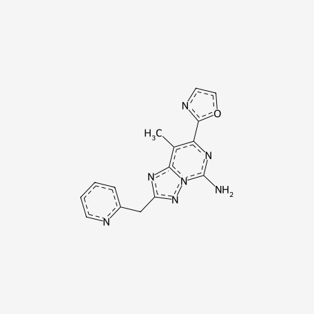 Cc1c(-c2ncco2)nc(N)n2nc(Cc3ccccn3)nc12